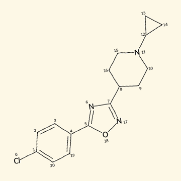 Clc1ccc(-c2nc(C3CCN(C4CC4)CC3)no2)cc1